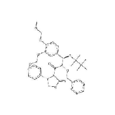 COCOc1ccc([C@@H](O[Si](C)(C)C(C)(C)C)[C@H](OCc2ccccc2)C(=O)N2C(=S)OC[C@@H]2c2ccccc2)cc1OCOC